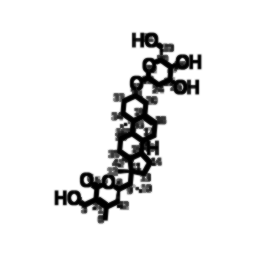 CC1=C(CO)C(=O)O[C@@H]([C@@H](C)[C@@]2(C)CCC3[C@@H]4CC=C5C[C@@H](OC6C[C@@H](O)[C@H](O)[C@@H](CO)O6)CC[C@]5(C)C4CC[C@@]32C)C1